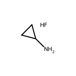 F.NC1CC1